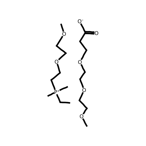 CC[P+](C)(C)CCOCCOC.COCCOCCOCCC(=O)[O-]